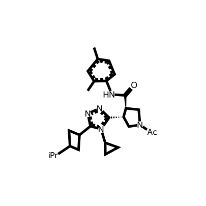 CC(=O)N1C[C@H](C(=O)Nc2ccc(C)cc2C)[C@@H](c2nnc(C3CC(C(C)C)C3)n2C2CC2)C1